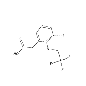 O=C(O)Cc1cccc(Cl)c1OCC(F)(F)F